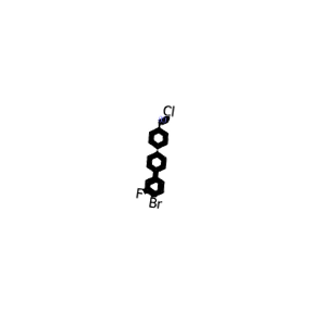 Fc1cc(C2CCC([C@H]3CC[C@H](/C=C/Cl)CC3)CC2)ccc1Br